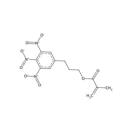 C=C(C)C(=O)OCCCc1cc([N+](=O)[O-])c([N+](=O)[O-])c([N+](=O)[O-])c1